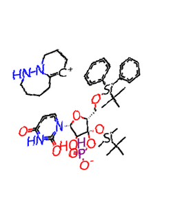 CC(C)(C)[Si](C)(C)O[C@@]1(O[PH](=O)[O-])[C@@H](CO[Si](c2ccccc2)(c2ccccc2)C(C)(C)C)O[C@@H](n2ccc(=O)[nH]c2=O)[C@@H]1O.[C+]1=C2CCCCNN2CCC1